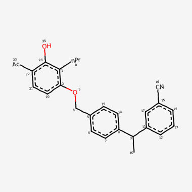 CCCc1c(OCc2ccc(C(C)c3cccc(C#N)c3)cc2)ccc(C(C)=O)c1O